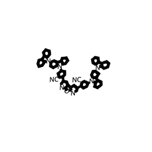 N#Cc1cc(-n2c3ccccc3c3cc(-n4c5ccccc5c5ccccc54)ccc32)ccc1-c1cnc2oc3ncc(-c4ccc(-n5c6ccccc6c6cc(-n7c8ccccc8c8ccccc87)ccc65)cc4C#N)cc3c2c1